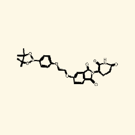 CC1(C)OB(c2ccc(OCCOc3ccc4c(c3)C(=O)N(C3CCC(=O)NC3=O)C4=O)cc2)OC1(C)C